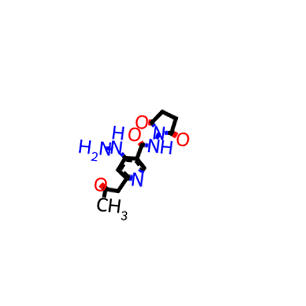 CC(=O)Cc1cc(NN)c(C(=O)NN2C(=O)CCC2=O)cn1